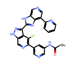 CCCCC(=O)Nc1cncc(-c2ncc3[nH]nc(-c4nc5c(-c6ccccn6)cncc5[nH]4)c3c2F)c1